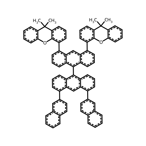 CC1(C)c2ccccc2Oc2c(-c3cccc4c(-c5c6cccc(-c7ccc8ccccc8c7)c6cc6c(-c7ccc8ccccc8c7)cccc56)c5cccc(-c6cccc7c6Oc6ccccc6C7(C)C)c5cc34)cccc21